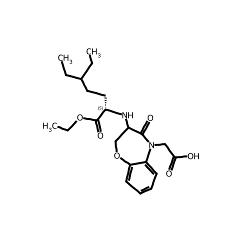 CCOC(=O)[C@H](CCC(CC)CC)NC1COc2ccccc2N(CC(=O)O)C1=O